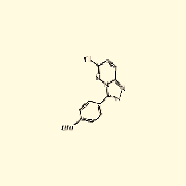 CC(C)(C)c1ccc(-c2nnc3ccc(Cl)nn23)cc1